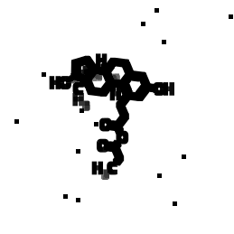 CCC(=O)OC(=O)CCc1cc(O)cc2c1[C@H]1CC[C@]3(C)[C@H](O)CC[C@H]3[C@@H]1CC2